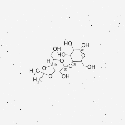 CC1(C)OC2C(O)[C@H](O[C@@H]3C(CO)O[C@@H](O)C(O)C3O)OC(CO)[C@@H]2O1